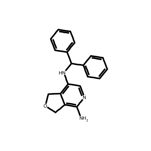 Nc1ncc(NC(c2ccccc2)c2ccccc2)c2c1COC2